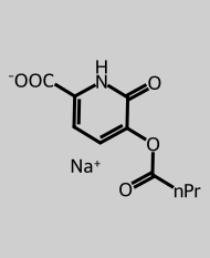 CCCC(=O)Oc1ccc(C(=O)[O-])[nH]c1=O.[Na+]